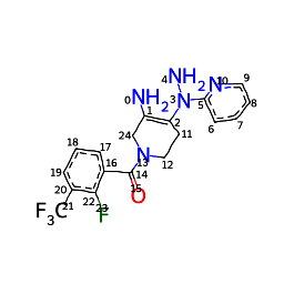 NC1=C(N(N)c2ccccn2)CCN(C(=O)c2cccc(C(F)(F)F)c2F)C1